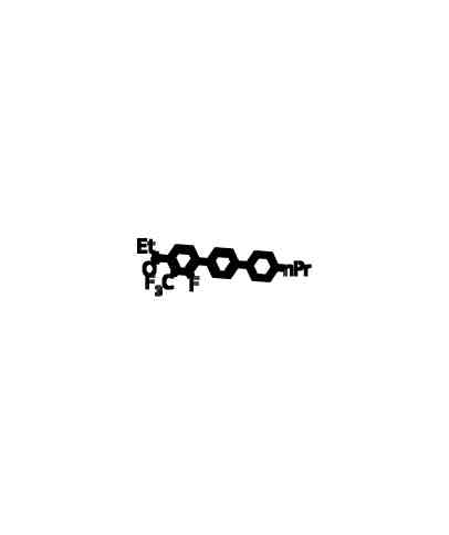 CCCC1CCC(c2ccc(-c3ccc(C(=O)CC)c(C(F)(F)F)c3F)cc2)CC1